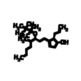 C=CC[C@@H]1C(CC[C@H](O[Si](C)(C)C(C)(C)C)C(C)CCCC)=CC[C@@H]1O